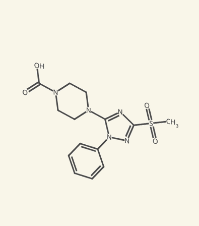 CS(=O)(=O)c1nc(N2CCN(C(=O)O)CC2)n(-c2ccccc2)n1